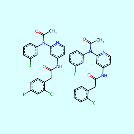 CC(=O)N(c1cccc(F)c1)c1cc(NC(=O)Cc2ccc(F)cc2Cl)ccn1.CC(=O)N(c1cccc(F)c1)c1cc(NC(=O)Cc2ccccc2Cl)ccn1